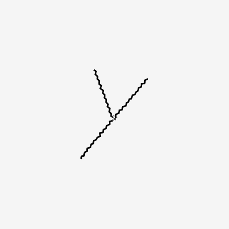 CCCCCCCCCCCCCCCCCCCCC[Si](CCCCCCCCCCCCCCCCCCCCC)CCCCCCCCCCCCCCCCCCCCC